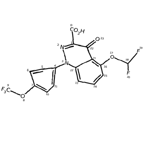 O=C(O)c1nn(-c2ccc(OC(F)(F)F)cc2)c2cccc(OC(F)F)c2c1=O